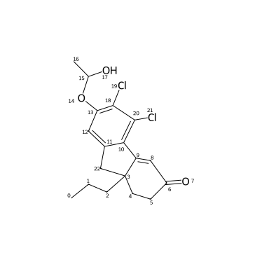 CCCC12CCC(=O)C=C1c1c(cc(OC(C)O)c(Cl)c1Cl)C2